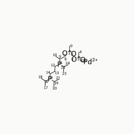 CC(=O)[O-].CC(=O)[O-].CC(C)P(CCCP(C(C)C)C(C)C)C(C)C.[Pd+2]